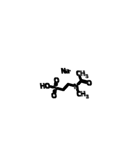 CC(=O)N(C)CCS(=O)(=O)O.[Na]